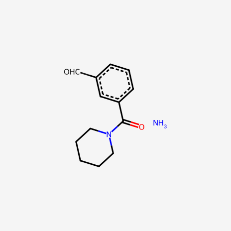 N.O=Cc1cccc(C(=O)N2CCCCC2)c1